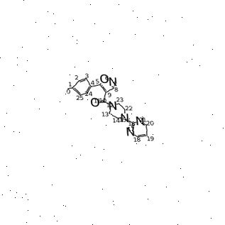 Cc1ccc(-c2oncc2C(=O)N2CCN(c3ncccn3)CC2)cc1